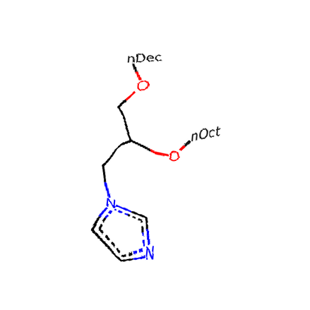 CCCCCCCCCCOCC(Cn1ccnc1)OCCCCCCCC